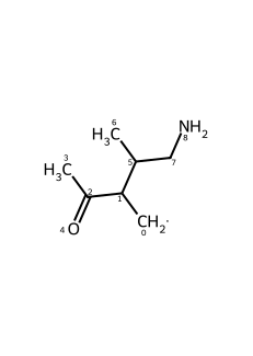 [CH2]C(C(C)=O)C(C)CN